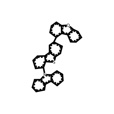 c1ccc2c(c1)oc1cccc(-c3ccc4sc5c(-n6c7ccccc7c7ccccc76)cccc5c4c3)c12